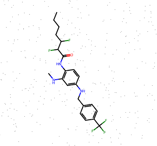 CCCCC(F)C(F)C(=O)Nc1ccc(NCc2ccc(C(F)(F)F)cc2)cc1NC